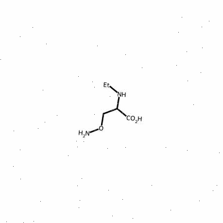 CCNC(CON)C(=O)O